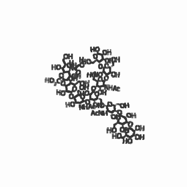 CC(=O)N[C@H]1[C@H](OC[C@H]2O[C@@H](O[C@H]3[C@H](O)[C@@H](NC(C)=O)[C@H](O[C@H]4[C@@H](O)[C@@H](CO)O[C@@H](O[C@H]5[C@H](O)[C@@H](O)[C@H](O)O[C@@H]5CO)[C@@H]4O)O[C@@H]3CO)[C@H](O)[C@@H](O[C@@H]3O[C@H](CO)[C@@H](O[C@@H]4O[C@H](CO)[C@H](O)[C@H](O[C@]5(C(=O)O)C[C@H](O)[C@@H](NC(=O)CO)[C@H]([C@H](O)[C@H](O)CO)O5)[C@H]4O)[C@H](O)[C@H]3NC(C)=O)[C@H]2O)O[C@H](CO)[C@@H](O[C@@H]2O[C@H](CO)[C@H](O)[C@H](O[C@H]3O[C@H](CO)[C@H](O)[C@H](O)[C@H]3O)[C@H]2O)[C@@H]1O